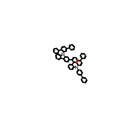 c1ccc(-c2ccc(N(c3ccc(-c4ccccc4)cc3)c3ccccc3-c3ccccc3-c3ccc4c5ccccc5n(-c5cc(-c6ccccc6)ccc5-c5ccccc5)c4c3)cc2)cc1